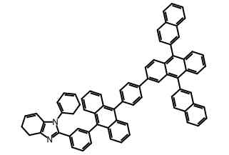 C1=CCCC(n2c(-c3cccc(-c4c5ccccc5c(-c5ccc(-c6ccc7c(-c8ccc9ccccc9c8)c8ccccc8c(-c8ccc9ccccc9c8)c7c6)cc5)c5ccccc45)c3)nc3c2C=CCC3)=C1